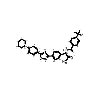 CC(C)(C)c1ccc(C(=O)NC(C(=O)O)c2ccc(-c3noc(-c4ccc(N5CCCCC5)cc4)n3)cc2)cc1